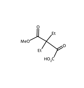 CCC(CC)(C(=O)OC)C(=O)C(=O)O